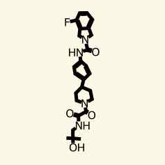 CC(C)(O)CNC(=O)C(=O)N1CCC(c2ccc(NC(=O)N3Cc4cccc(F)c4C3)cc2)CC1